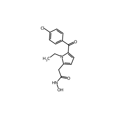 CCn1c(CC(=O)NO)ccc1C(=O)c1ccc(Cl)cc1